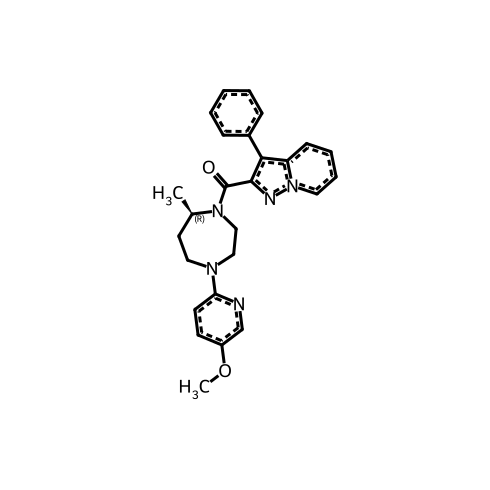 COc1ccc(N2CC[C@@H](C)N(C(=O)c3nn4ccccc4c3-c3ccccc3)CC2)nc1